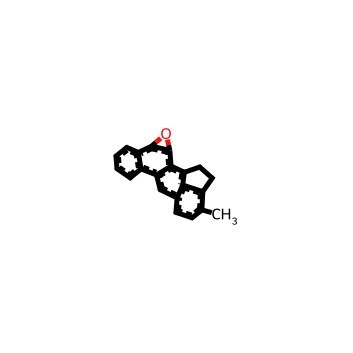 Cc1ccc2cc3c(c4c(c5ccccc53)O4)c3c2c1CC3